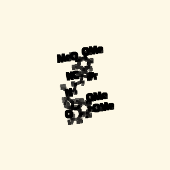 COc1ccc(C(C#N)(CCCN(C)CCC2(C)OCCc3cc(OC)c(OC)cc32)C(C)C)cc1OC